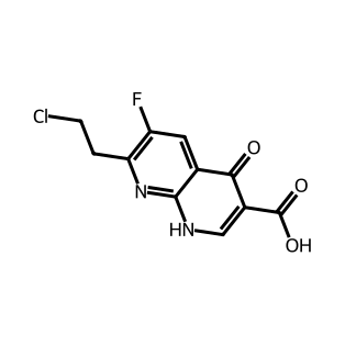 O=C(O)c1c[nH]c2nc(CCCl)c(F)cc2c1=O